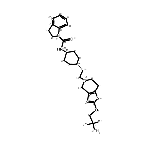 CC(F)(F)COc1nc2c(s1)CCN(CC[C@H]1CC[C@H](NC(=O)N3CCc4ncccc43)CC1)C2